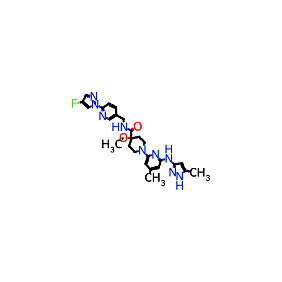 COC1(C(=O)NCc2ccc(-n3cc(F)cn3)nc2)CCN(c2cc(C)cc(Nc3cc(C)[nH]n3)n2)CC1